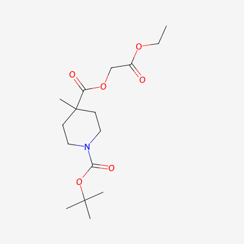 CCOC(=O)COC(=O)C1(C)CCN(C(=O)OC(C)(C)C)CC1